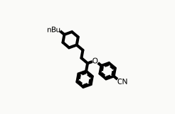 CCCCC1CCC(CCC(Oc2ccc(C#N)cc2)c2ccccc2)CC1